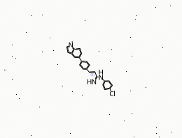 Cn1ccc2cc(-c3ccc(/C=C/C(=N)Nc4ccc(Cl)cc4)cc3)ccc21